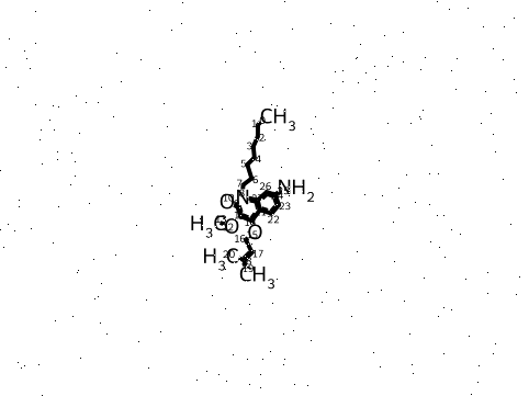 CCCCCCCCn1c(=O)c(OC)c(OCC=C(C)C)c2ccc(N)cc21